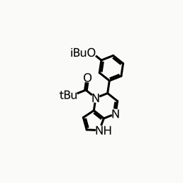 CC(C)COc1cccc(C2C=Nc3[nH]ccc3N2C(=O)C(C)(C)C)c1